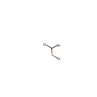 CCSC(CC)C(C)C